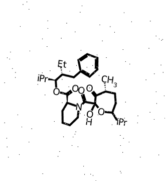 CC[C@H](Cc1ccccc1)[C@@H](OC(=O)[C@@H]1CCCCN1C(=O)C1(O)OC(C(C)C)CC[C@@H](C)C1=O)C(C)C